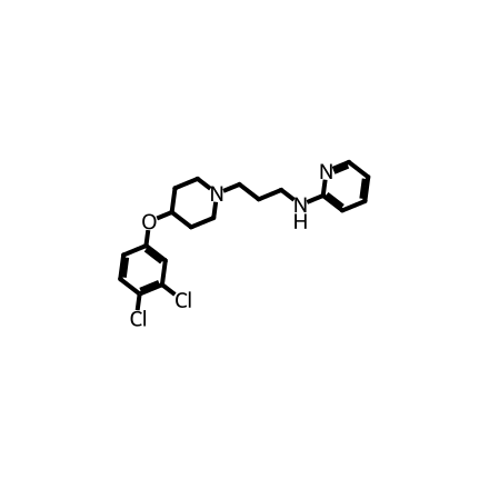 Clc1ccc(OC2CCN(CCCNc3ccccn3)CC2)cc1Cl